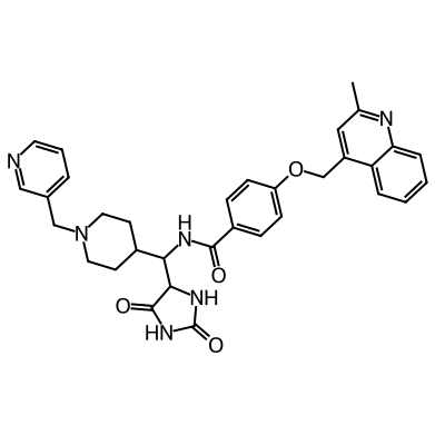 Cc1cc(COc2ccc(C(=O)NC(C3CCN(Cc4cccnc4)CC3)C3NC(=O)NC3=O)cc2)c2ccccc2n1